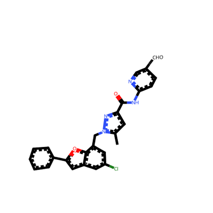 Cc1cc(C(=O)Nc2ccc(C=O)cn2)nn1Cc1cc(Cl)cc2cc(-c3ccccc3)oc12